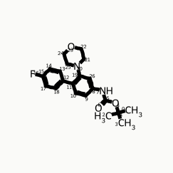 CC(C)(C)OC(=O)Nc1ccc(-c2ccc(F)cc2)c(N2CCOCC2)c1